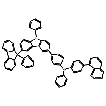 c1ccc(N(c2ccc(-c3ccc4c(c3)c3cc(C5(c6ccccc6)c6ccccc6-c6ccccc65)ccc3n4-c3ccccc3)cc2)c2ccc(-c3cccc4ccccc34)cc2)cc1